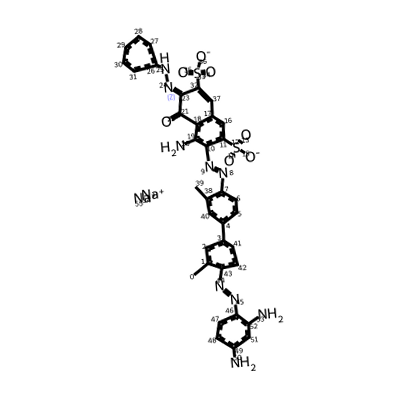 Cc1cc(-c2ccc(N=Nc3c(S(=O)(=O)[O-])cc4c(c3N)C(=O)/C(=N/Nc3ccccc3)C(S(=O)(=O)[O-])=C4)c(C)c2)ccc1N=Nc1ccc(N)cc1N.[Na+].[Na+]